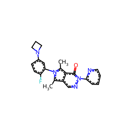 Cc1c2cnn(-c3ccccn3)c(=O)c2c(C)n1-c1cc(N2CCC2)ccc1F